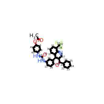 CC(=O)Oc1ccc(NC(=O)Nc2cccc(-c3c(C(=O)c4ccccc4)cnc4c(C(F)(F)F)cccc34)c2)cc1